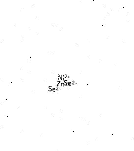 [Ni+2].[Se-2].[Se-2].[Zn+2]